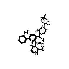 Cc1ccnc(C(C)C)c1-n1c(=O)nc(N2C[C@@H](C)N(C(=O)OC(C)(C)C)C[C@@H]2C)c2cc(F)c(-c3ccccc3F)nc21